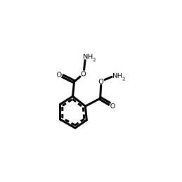 NOC(=O)c1ccccc1C(=O)ON